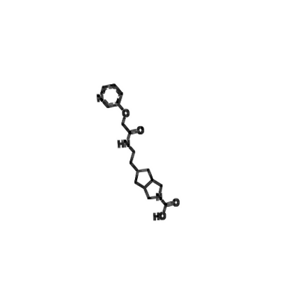 O=C(COc1cccnc1)NCCC1CC2CN(C(=O)O)CC2C1